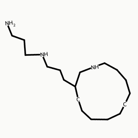 NCCCNCCCC1CCCCCCCCCCNC1